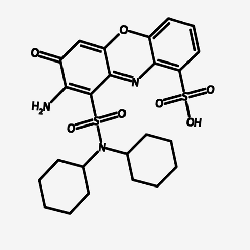 Nc1c(S(=O)(=O)N(C2CCCCC2)C2CCCCC2)c2nc3c(S(=O)(=O)O)cccc3oc-2cc1=O